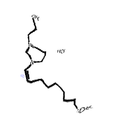 CCCCCCCCCCCCCCC/C=C\N1CCN(CCO)C1.Cl